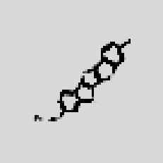 CCCCCOc1ccc2c(c1)sc1c2sc2c3ccc(C)cc3sc21